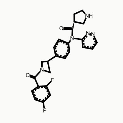 O=C(c1ccc(F)cc1F)N1CC(c2ccc(N(C(=O)[C@H]3CCNC3)c3cccnn3)cc2)C1